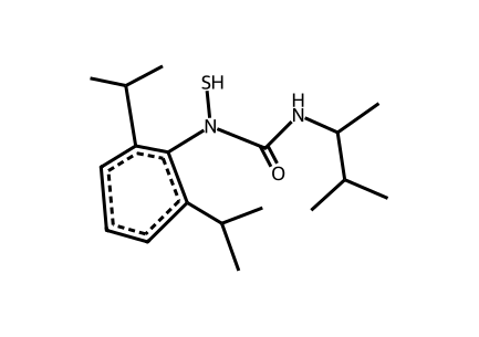 CC(C)c1cccc(C(C)C)c1N(S)C(=O)NC(C)C(C)C